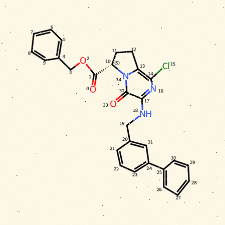 O=C(OCc1ccccc1)[C@@H]1CCc2c(Cl)nc(NCc3cccc(-c4ccccc4)c3)c(=O)n21